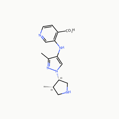 Cc1nn([C@@H]2CNC[C@@H]2C)cc1Nc1cnccc1C(=O)O